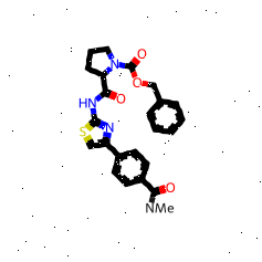 CNC(=O)c1ccc(-c2csc(NC(=O)C3CCCN3C(=O)OCc3ccccc3)n2)cc1